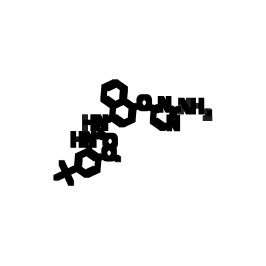 COc1ccc(C(C)(C)C)cc1NC(=O)Nc1ccc(Oc2ccnc(N)n2)c2ccccc12